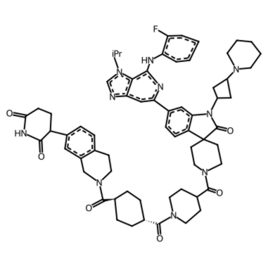 CC(C)n1cnc2cc(-c3ccc4c(c3)N(C3CC(N5CCCCC5)C3)C(=O)C43CCN(C(=O)C4CCN(C(=O)[C@H]5CC[C@H](C(=O)N6CCc7ccc(C8CCC(=O)NC8=O)cc7C6)CC5)CC4)CC3)nc(Nc3ccccc3F)c21